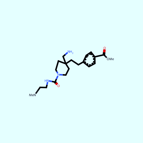 CNCCNC(=O)N1CCC(CN)(CCc2ccc(C(=O)OC)cc2)CC1